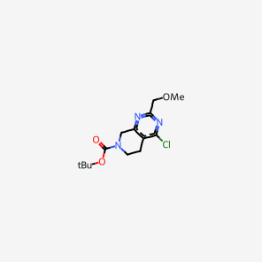 COCc1nc(Cl)c2c(n1)CN(C(=O)OC(C)(C)C)CC2